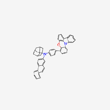 c1cc(-c2ccc(N(c3ccc4c(ccc5ccccc54)c3)C34CC5CC(CC(C5)C3)C4)cc2)c2c(c1)-n1c3ccccc3c3cccc(c31)O2